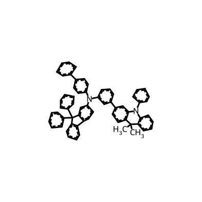 CC1(C)c2ccccc2N(c2ccccc2)c2cc(-c3cccc(N(c4ccc(-c5ccccc5)cc4)c4ccc5c(c4)C(c4ccccc4)(c4ccccc4)c4ccccc4-5)c3)ccc21